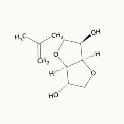 C=C(C)C.O[C@@H]1CO[C@H]2[C@@H]1OC[C@@H]2O